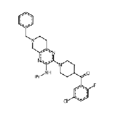 CC(C)Nc1nc2c(nc1N1CCC(C(=O)c3cc(Cl)ccc3F)CC1)CCN(Cc1ccccc1)C2